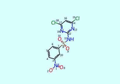 O=[N+]([O-])c1cccc(S(=O)(=O)Nc2nc(Cl)cc(Cl)n2)c1